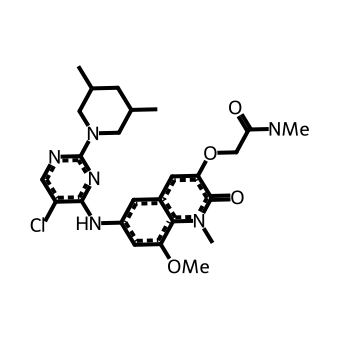 CNC(=O)COc1cc2cc(Nc3nc(N4CC(C)CC(C)C4)ncc3Cl)cc(OC)c2n(C)c1=O